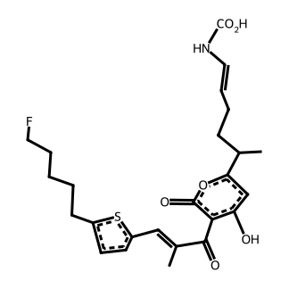 CC(=Cc1ccc(CCCCCF)s1)C(=O)c1c(O)cc(C(C)CC/C=C/NC(=O)O)oc1=O